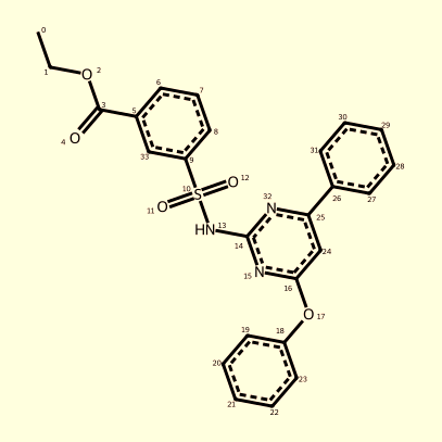 CCOC(=O)c1cccc(S(=O)(=O)Nc2nc(Oc3ccccc3)cc(-c3ccccc3)n2)c1